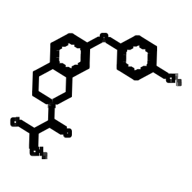 C=C(Cl)C(=O)N1CCc2ccc(Oc3ccc(C(F)(F)F)cc3)cc2C1